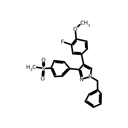 COc1ccc(-c2cn(Cc3ccccc3)nc2-c2ccc(S(C)(=O)=O)cc2)cc1F